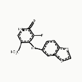 O=C(O)c1c[nH]c(=O)c(F)c1Nc1ccc2ncsc2c1